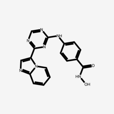 O=C(NO)c1ccc(Nc2ncnc(-c3cnc4ccccn34)n2)cc1